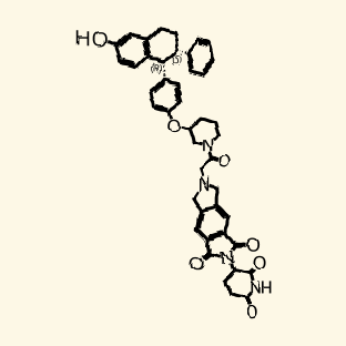 O=C1CCC(N2C(=O)c3cc4c(cc3C2=O)CN(CC(=O)N2CCCC(Oc3ccc([C@@H]5c6ccc(O)cc6CC[C@@H]5c5ccccc5)cc3)C2)C4)C(=O)N1